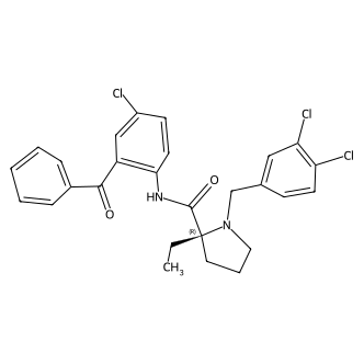 CC[C@]1(C(=O)Nc2ccc(Cl)cc2C(=O)c2ccccc2)CCCN1Cc1ccc(Cl)c(Cl)c1